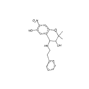 CC1(C)Oc2cc([N+](=O)[O-])c(O)cc2C(NCCc2ccccc2)C1O